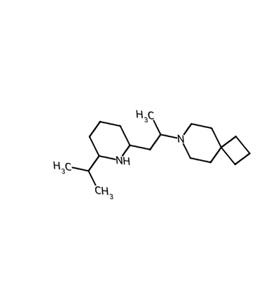 CC(C)C1CCCC(CC(C)N2CCC3(CCC3)CC2)N1